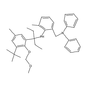 CCC(CC)(Pc1c(C)cccc1CN(c1ccccc1)c1ccccc1)c1cc(C)cc(C(C)(C)C)c1OCOC